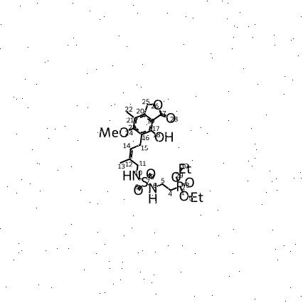 CCOP(=O)(CCNS(=O)(=O)NCC(C)=CCc1c(O)c2c(c(C)c1OC)COC2=O)OCC